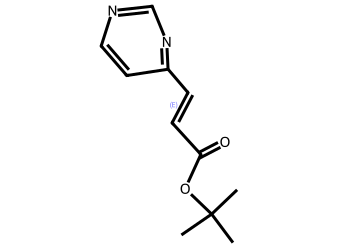 CC(C)(C)OC(=O)/C=C/c1ccncn1